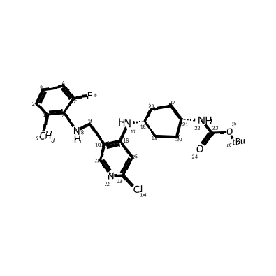 Cc1cccc(F)c1NCc1cnc(Cl)cc1N[C@H]1CC[C@@H](NC(=O)OC(C)(C)C)CC1